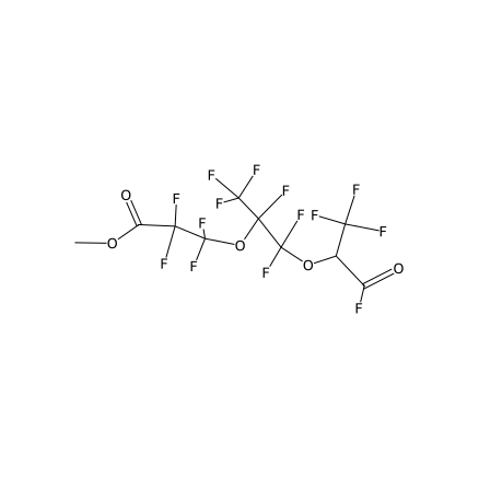 COC(=O)C(F)(F)C(F)(F)OC(F)(C(F)(F)F)C(F)(F)OC(C(=O)F)C(F)(F)F